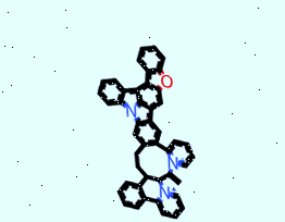 C=C1C2C(CCc3cc4c(cc3-c3cccc[n+]31)c1cc3oc5ccccc5c3c3c5ccccc5n4c13)c1ccccc1-c1cccc[n+]12